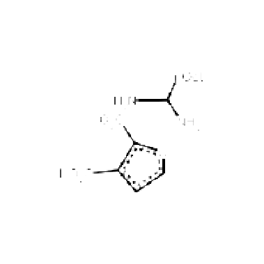 CCCCCCCCC(N)N.O=C(O)c1ccoc1C(=O)O